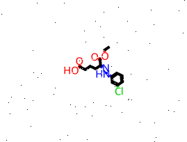 CCOC(=O)/C(CCCC(=O)O)=N/Nc1cccc(Cl)c1